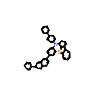 c1ccc(-c2ccc(N(c3ccc(-c4ccc5ccc(-c6ccccc6)cc5c4)cc3)c3cccc4c3sc3ccccc34)cc2)cc1